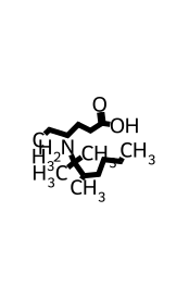 CCCCC(C)C(C)(C)N.CCCCCC(=O)O